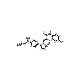 CN(C(=O)c1cn2c(-c3ccc(/C(N)=C/C=N)cc3)cnc2cn1)c1ccc(Cl)cc1